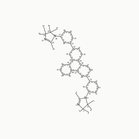 CC1=NC(C)(C)C(C)(C)N1c1cccc(-c2ccc3c4ccc(-c5cccc(N6C(C)=NC(C)(C)C6(C)C)c5)cc4c4ccccc4c3c2)c1